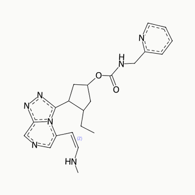 CCC1CC(OC(=O)NCc2ccccn2)CC1c1nnc2cncc(/C=C\NC)n12